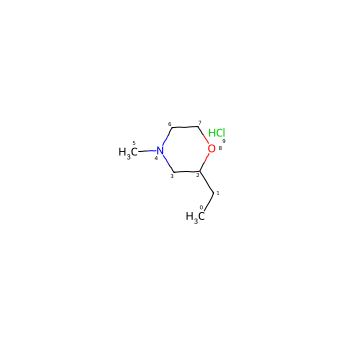 CCC1CN(C)CCO1.Cl